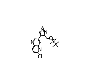 Cn1cc(-c2cnc3ccc(Cl)nc3c2)c(CO[Si](C)(C)C(C)(C)C)n1